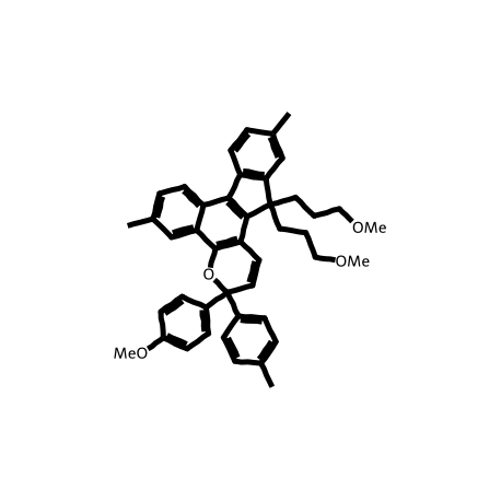 COCCCC1(CCCOC)c2cc(C)ccc2-c2c1c1c(c3cc(C)ccc23)OC(c2ccc(C)cc2)(c2ccc(OC)cc2)C=C1